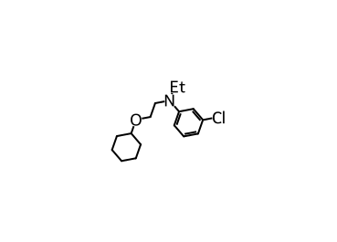 CCN(CCOC1CCCCC1)c1cccc(Cl)c1